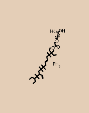 C=CC(CC(C)(C)C(C)(C)CC=CCC(C)(C)C(CC)(CC)COC(=O)COOOP(O)O)C(C)(C)C(CC)CC.P